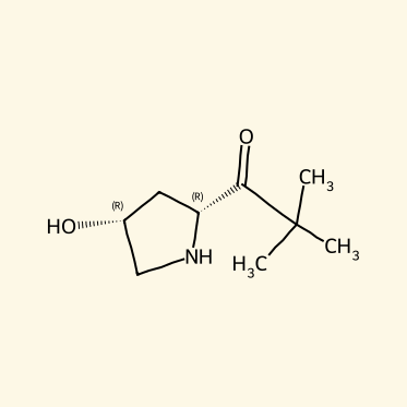 CC(C)(C)C(=O)[C@H]1C[C@@H](O)CN1